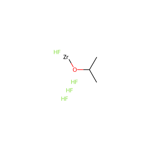 CC(C)[O][Zr].F.F.F.F